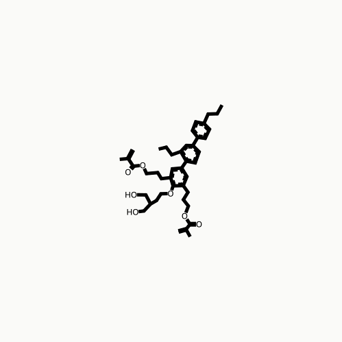 C=C(C)C(=O)OCCCc1cc(-c2ccc(-c3ccc(CCC)cc3)cc2CCC)cc(CCCOC(=O)C(=C)C)c1OCCC(CO)CO